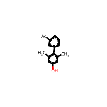 CC(=O)c1cccc(-c2c(C)cc(O)cc2C)c1